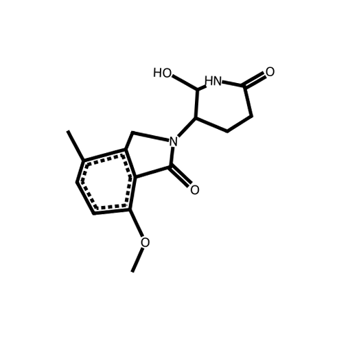 COc1ccc(C)c2c1C(=O)N(C1CCC(=O)NC1O)C2